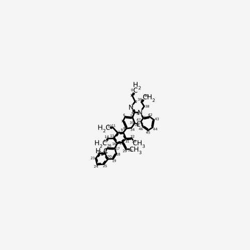 C=CC/N=C(/C1=CC=C(c2c(C=C)c(C=C)c(C(/C=C\c3ccccc3)=C/C)c(=C/C)/c2=C\C)C[C@@H]1CC)N(CC=C)C1=CC=CC=CC1